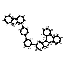 c1cc(-c2ccc(-c3cccc4c3sc3ccccc34)cc2)cc(-c2cnc3oc4c5ccccc5c5ccccc5c4c3n2)c1